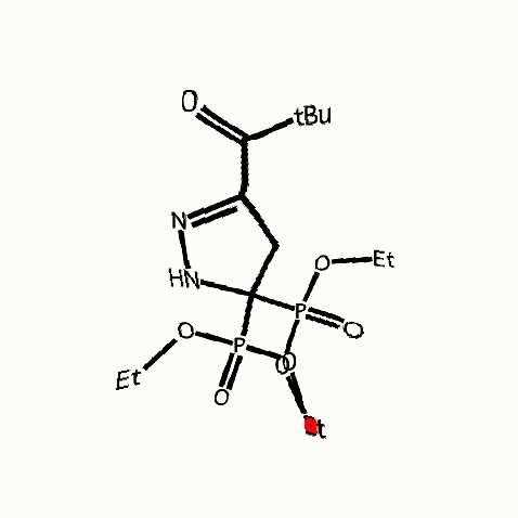 CCOP(=O)(OCC)C1(P(=O)(OCC)OCC)CC(C(=O)C(C)(C)C)=NN1